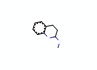 CNC1CCc2ccccc2N1